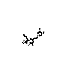 CCCC(C(=O)OC)n1nc(CCN2C[C@@H](F)[C@@H](F)C2)cc(C)c1=O